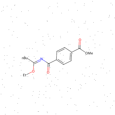 CCCCC(=NC(=O)c1ccc(C(=O)OC)cc1)OCC